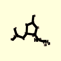 CC1CC(CN(C)C)N(PP)C1